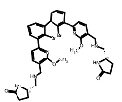 COc1nc(-c2cccc(-c3cccc(-c4ccc(CNC[C@@H]5CCC(=O)N5)c(OC)n4)c3Br)c2Br)ccc1CNC[C@@H]1CCC(=O)N1